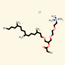 CC(=O)CC(=O)OC(COCCOCC[N+](C)(C)C)COCCC(C)CCCC(C)CCCC(C)CCCC(C)C.[Cl-]